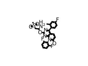 Cc1cc(F)ccc1-c1nc(OC(N)CS(C)(=O)=O)nc2c1ccc(=O)n2-c1c(F)cccc1F